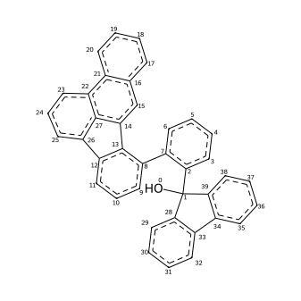 OC1(c2ccccc2-c2cccc3c2-c2cc4ccccc4c4cccc-3c24)c2ccccc2-c2ccccc21